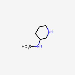 O=S(=O)(O)NC1CCCNC1